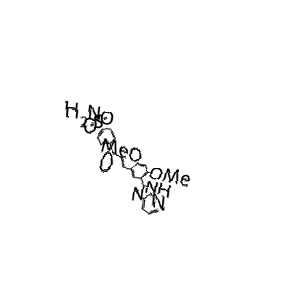 COc1cc(OC)c(-c2nc3cccnc3[nH]2)cc1/C=C/C(=O)c1ccc(S(N)(=O)=O)cc1